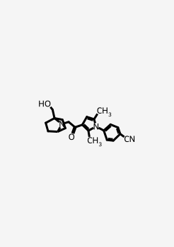 Cc1cc(C(=O)CN2C3CCC2(CO)CC3)c(C)n1-c1ccc(C#N)cc1